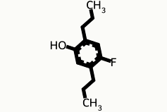 CCCc1cc(F)c(CCC)cc1O